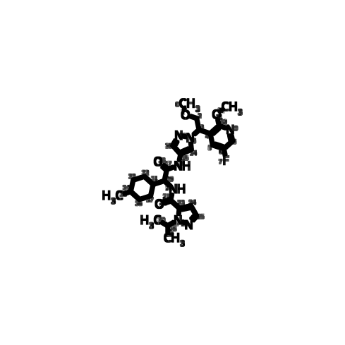 COCC(c1cc(F)cnc1OC)n1cc(NC(=O)C(NC(=O)c2ccnn2C(C)C)C2CCC(C)CC2)cn1